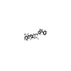 C/C(=N\N=C(\SCCCN1CC2CCN(c3ccccc3)C2C1)C(C)C)C1CCOCC1